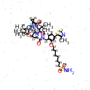 Cc1ncsc1-c1ccc(CNC(=O)[C@@H]2C[C@@H](O[Si](C)(C)C(C)(C)C)CN2C(=O)[C@@H](NC(=O)C2(F)CC2)C(C)(C)C)c(OCCCCCCCCS(N)(=O)=O)c1